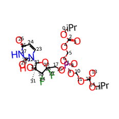 CC(C)OC(=O)OCOP(=O)(OCOC(=O)OC(C)C)OC[C@@]1(F)O[C@@H](n2ccc(=O)[nH]c2=O)[C@](C)(O)[C@@H]1F